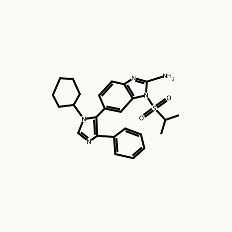 CC(C)S(=O)(=O)n1c(N)nc2ccc(-c3c(-c4ccccc4)ncn3C3CCCCC3)cc21